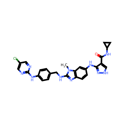 Cn1c(NCc2ccc(Nc3ncc(Cl)cn3)cc2)nc2ccc(Nc3n[nH]cc3C(=O)NC3CC3)cc21